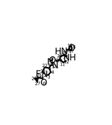 O=C(N1CCC(c2noc(C3CCNC(NC4COC4)C3)n2)CC1)C1(F)CC1